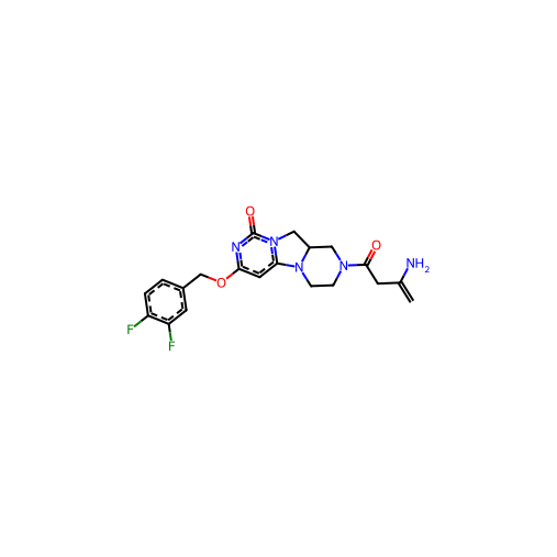 C=C(N)CC(=O)N1CCN2c3cc(OCc4ccc(F)c(F)c4)nc(=O)n3CC2C1